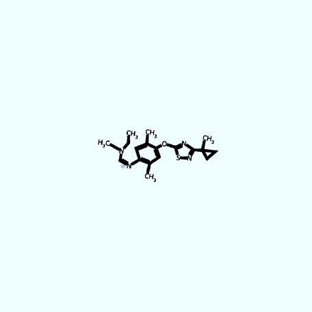 CCN(C)/C=N\c1cc(C)c(Oc2nc(C3(C)CC3)ns2)cc1C